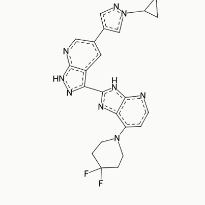 FC1(F)CCN(c2ccnc3[nH]c(-c4n[nH]c5ncc(-c6cnn(C7CC7)c6)cc45)nc23)CC1